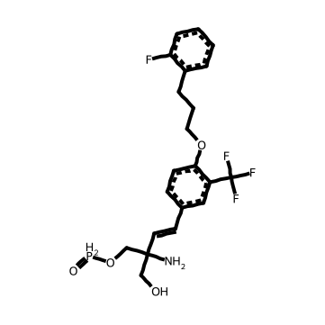 NC(C=Cc1ccc(OCCCc2ccccc2F)c(C(F)(F)F)c1)(CO)CO[PH2]=O